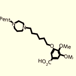 CCCCCN1CCCN(CCCCCCOc2cc(C(=O)O)cc(OC)c2OC)CC1